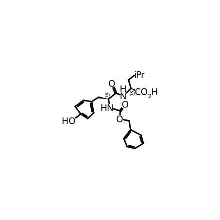 CC(C)C[C@H](NC(=O)[C@H](Cc1ccc(O)cc1)NC(=O)OCc1ccccc1)C(=O)O